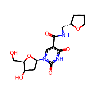 O=C(NC[C@@H]1CCCO1)c1cn([C@H]2CC(O)[C@@H](CO)O2)c(=O)[nH]c1=O